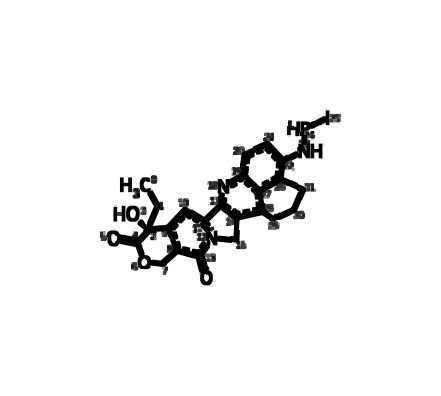 CC[C@@]1(O)C(=O)OCc2c1cc1n(c2=O)Cc2c-1nc1ccc(NPI)c3c1c2CCC3